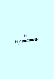 C=C=N.I